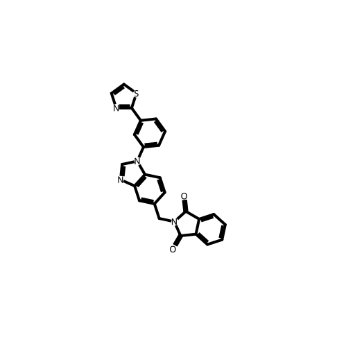 O=C1c2ccccc2C(=O)N1Cc1ccc2c(c1)ncn2-c1cccc(-c2nccs2)c1